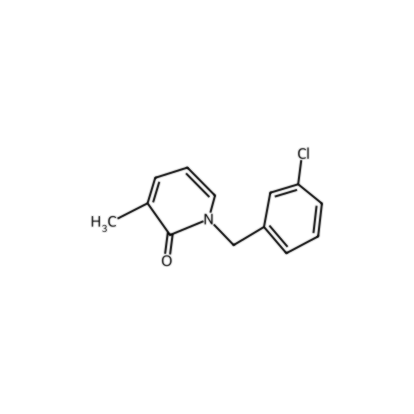 Cc1cccn(Cc2cccc(Cl)c2)c1=O